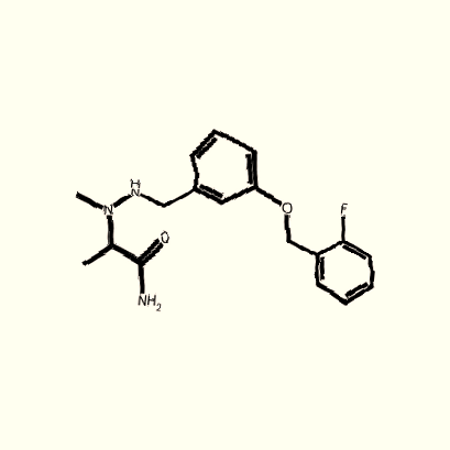 CC(C(N)=O)N(C)NCc1cccc(OCc2ccccc2F)c1